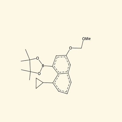 COCOc1cc(B2OC(C)(C)C(C)(C)O2)c2c(C3CC3)cccc2c1